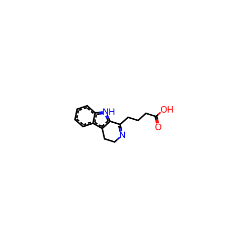 O=C(O)CCCC1=NCCc2c1[nH]c1ccccc21